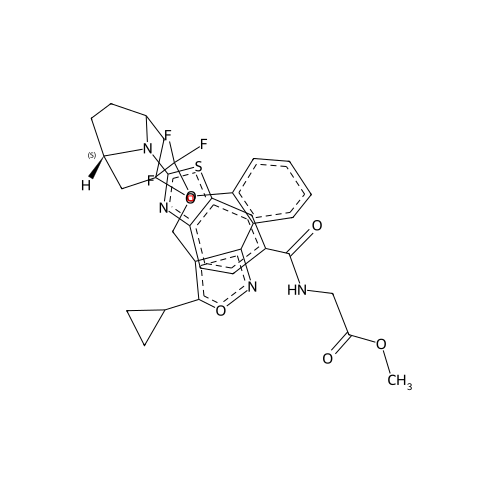 COC(=O)CNC(=O)c1ccc2nc(N3C4CC[C@H]3CC(OCc3c(-c5ccccc5OC(F)(F)F)noc3C3CC3)C4)sc2c1